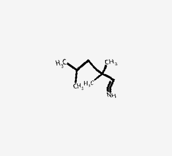 CC(C)CC(C)(C)C=N